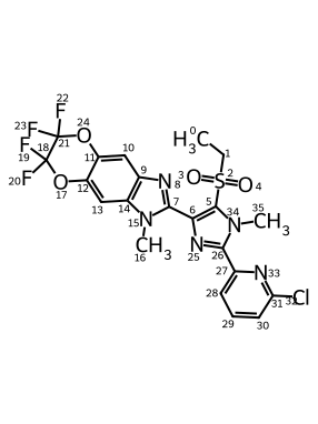 CCS(=O)(=O)c1c(-c2nc3cc4c(cc3n2C)OC(F)(F)C(F)(F)O4)nc(-c2cccc(Cl)n2)n1C